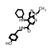 CCn1ncc2c(NC3CCCCC3)c(C(=O)NCCc3ccc(O)cc3)cnc21